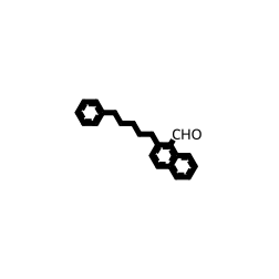 O=Cc1c(CCCCCc2ccccc2)ccc2ccccc12